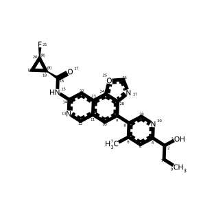 CCC(O)c1cc(C)c(-c2cc3cnc(NC(=O)[C@H]4C[C@H]4F)cc3c3ocnc23)cn1